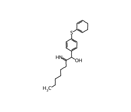 CCCCCCC(=N)C(O)c1ccc(SC2=CCCC=C2)cc1